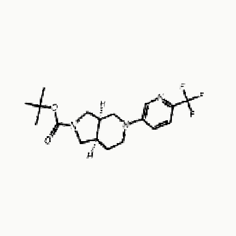 CC(C)(C)OC(=O)N1C[C@@H]2CCN(c3ccc(C(F)(F)F)nc3)C[C@@H]2C1